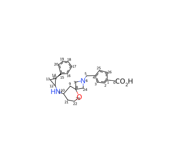 O=C(O)c1ccc(CN2CC3(CC(NC4C[C@H]4c4ccccc4)CCO3)C2)cc1